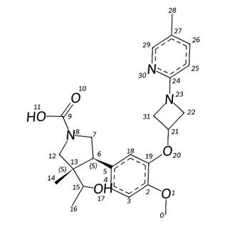 COc1ccc([C@@H]2CN(C(=O)O)C[C@@]2(C)C(C)O)cc1OC1CN(c2ccc(C)cn2)C1